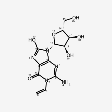 C=Cn1c(N)nc2c(nc(O)n2[C@@H]2O[C@H](CO)[C@@H](O)[C@H]2O)c1=O